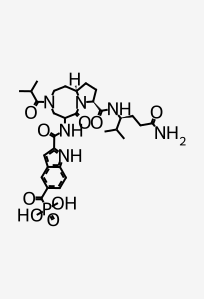 CC(C)C(=O)N1CC[C@H]2CC[C@@H](C(=O)N[C@@H](CCC(N)=O)C(C)C)N2C(=O)C(NC(=O)c2cc3cc(C(=O)P(=O)(O)O)ccc3[nH]2)C1